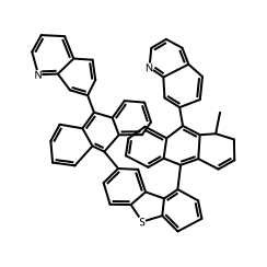 CC1CC=Cc2c1c(-c1ccc3cccnc3c1)c1ccccc1c2-c1cccc2sc3ccc(-c4c5ccccc5c(-c5ccc6cccnc6c5)c5ccccc45)cc3c12